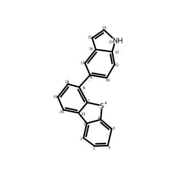 c1ccc2c(c1)sc1c(-c3ccc4[nH]ccc4c3)cccc12